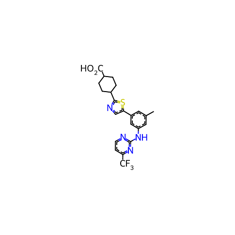 Cc1cc(Nc2nccc(C(F)(F)F)n2)cc(-c2cnc(C3CCC(C(=O)O)CC3)s2)c1